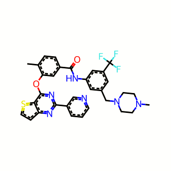 Cc1ccc(C(=O)Nc2cc(CN3CCN(C)CC3)cc(C(F)(F)F)c2)cc1Oc1nc(-c2cccnc2)nc2ccsc12